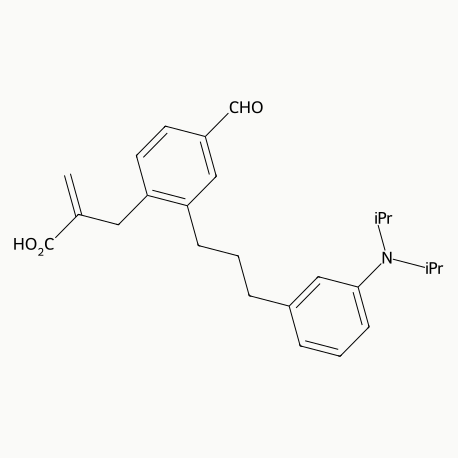 C=C(Cc1ccc(C=O)cc1CCCc1cccc(N(C(C)C)C(C)C)c1)C(=O)O